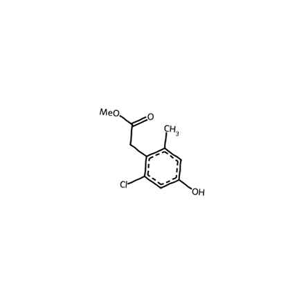 COC(=O)Cc1c(C)cc(O)cc1Cl